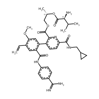 C=Cc1cc(C(=O)Nc2ccc(C(=N)N)cc2)c(-c2ccc(C(=O)NCC3CC3)nc2C(=O)OC[C@H](C)OC(=O)[C@@H](N)C(C)C)cc1OC